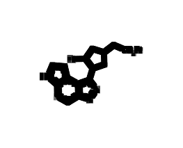 CCOC(=O)CC1CC(CC)C(c2nnc3cnc4[nH]ccc4n23)C1